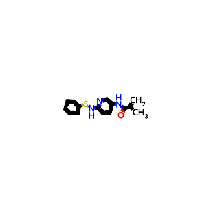 C=C(C)C(=O)Nc1ccc(NSc2ccccc2)nc1